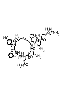 NC(=O)CC[C@@H]1NC(=O)[C@H](Cc2ccccc2)NC(=O)[C@H](Cc2ccc(O)cc2)NC(=O)[C@@H](N)CSSC[C@@H](C(=O)C2CCC[C@H]2C(=O)N[C@@H](CCCN=C(N)N)C(=O)NCC(N)=O)NC(=O)[C@H](CC(N)=O)NC1=O